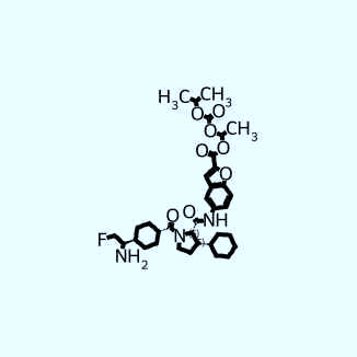 CC(C)OC(=O)OC(C)OC(=O)c1cc2cc(NC(=O)[C@@H]3[C@H](C4CCCCC4)CCN3C(=O)[C@H]3CC[C@H](C(N)CF)CC3)ccc2o1